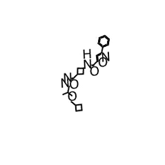 CC(OCC1CCC1)c1nnc(C2CC(NC(=O)c3cc(-c4ccccc4)no3)C2)o1